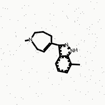 Cc1cccc2c(C3=CCN(C)CCC3)n[nH]c12